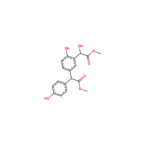 COC(=O)C(O)c1cc(C(C(=O)OC)c2ccc(O)cc2)ccc1O